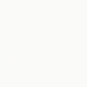 CCCCCCCCCCCCCCCCCCCOC(=O)Br